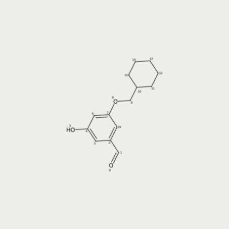 O=Cc1cc(O)cc(OCC2CCCCC2)c1